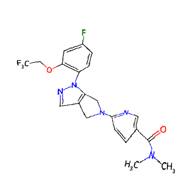 CN(C)C(=O)c1ccc(N2Cc3cnn(-c4ccc(F)cc4OCC(F)(F)F)c3C2)nc1